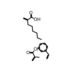 C=C(C)C(=O)O.C=C(CCCCCC)C(=O)O.C=Cc1ccccc1